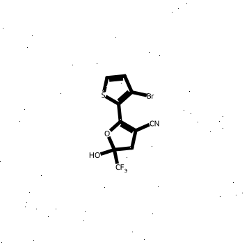 N#CC1=C(c2sccc2Br)OC(O)(C(F)(F)F)C1